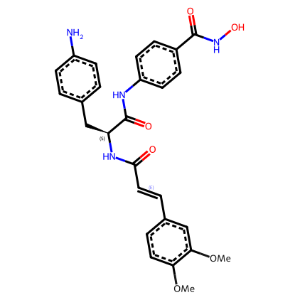 COc1ccc(/C=C/C(=O)N[C@@H](Cc2ccc(N)cc2)C(=O)Nc2ccc(C(=O)NO)cc2)cc1OC